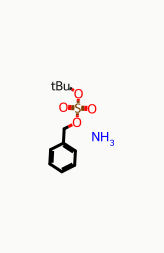 CC(C)(C)OS(=O)(=O)OCc1ccccc1.N